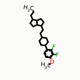 CCCC1CCC2C(CCC3CCC(c4ccc(OC)c(F)c4F)CC3)CCC12